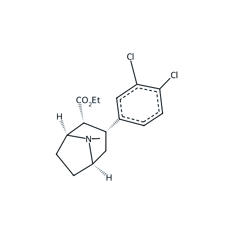 CCOC(=O)[C@@H]1[C@H](c2ccc(Cl)c(Cl)c2)C[C@H]2CC[C@@H]1N2C